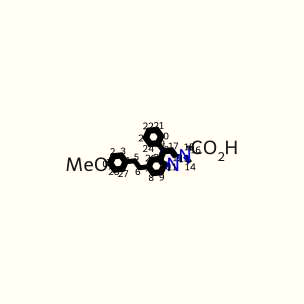 COc1ccc(CCc2ccc3nc(N(C)CC(=O)O)cc(-c4ccccc4)c3c2)cc1